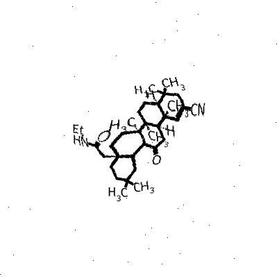 CCNC(=O)C[C@]12CCC(C)(C)CC1C1C(=O)C[C@@H]3[C@@]4(C)C=C(C#N)CC(C)(C)[C@@H]4CC[C@@]3(C)[C@]1(C)CC2